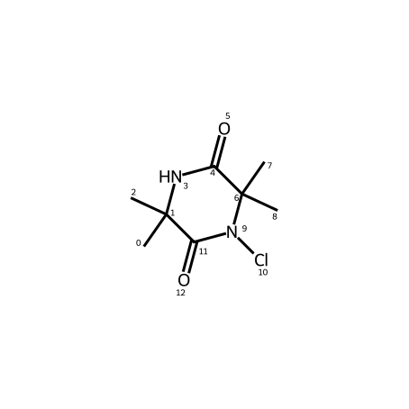 CC1(C)NC(=O)C(C)(C)N(Cl)C1=O